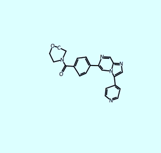 O=C(c1ccc(-c2cn3c(-c4ccncc4)cnc3cn2)cc1)N1CCOCC1